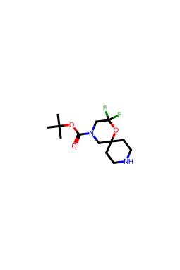 CC(C)(C)OC(=O)N1CC(F)(F)OC2(CCNCC2)C1